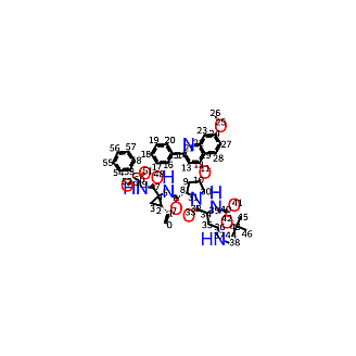 C=C[C@@H]1C[C@]1(NC(=O)[C@@H]1C[C@@H](Oc2cc(-c3ccccc3)nc3cc(OC)ccc23)CN1C(=O)C(CCNC)NC(=O)OC(C)(C)C)C(=O)NS(=O)(=O)c1ccccc1